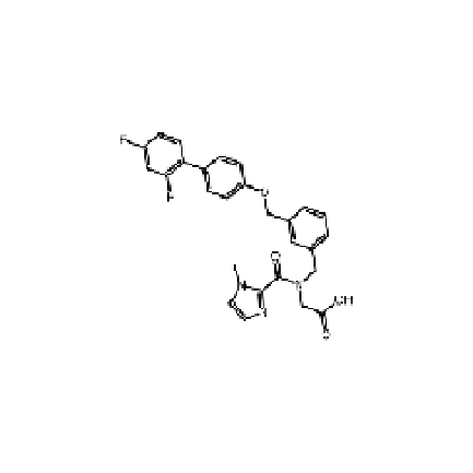 Cn1ccnc1C(=O)N(CC(=O)O)Cc1cccc(COc2ccc(-c3ccc(F)cc3F)cc2)c1